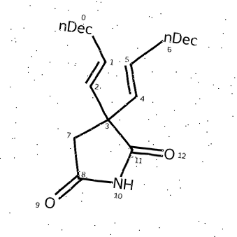 CCCCCCCCCCC=CC1(C=CCCCCCCCCCC)CC(=O)NC1=O